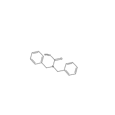 CCCCCCC(=O)N(Cc1ccccc1)Cc1ccccc1